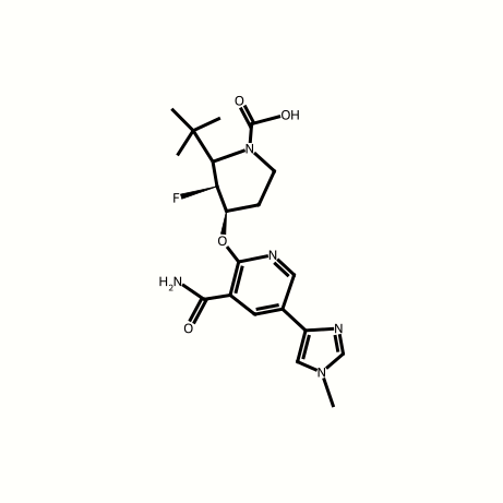 Cn1cnc(-c2cnc(O[C@@H]3CCN(C(=O)O)C(C(C)(C)C)[C@@H]3F)c(C(N)=O)c2)c1